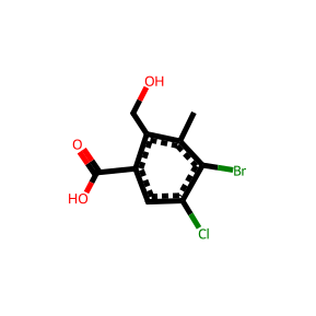 Cc1c(Br)c(Cl)cc(C(=O)O)c1CO